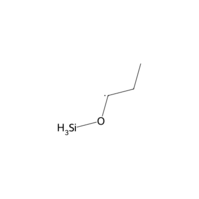 CC[CH]O[SiH3]